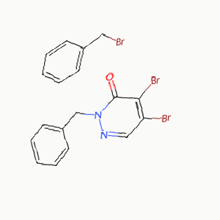 BrCc1ccccc1.O=c1c(Br)c(Br)cnn1Cc1ccccc1